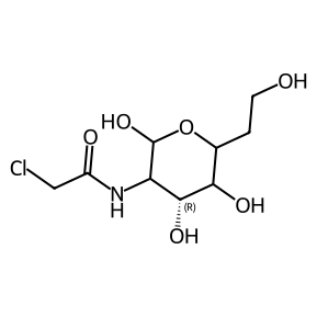 O=C(CCl)NC1C(O)OC(CCO)C(O)[C@@H]1O